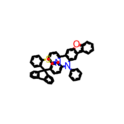 c1ccc(N(c2ccc3c(c2)Sc2ccccc2C32c3ccccc3-c3ccccc32)c2cc3c(cc2-c2ccccn2)oc2ccccc23)cc1